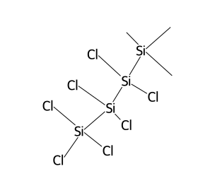 C[Si](C)(C)[Si](Cl)(Cl)[Si](Cl)(Cl)[Si](Cl)(Cl)Cl